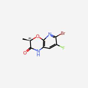 C[C@H]1Oc2nc(Br)c(F)cc2NC1=O